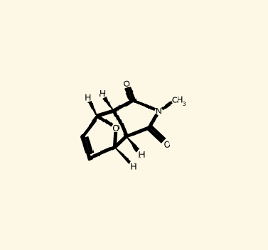 CN1C(=O)[C@@H]2[C@H](C1=O)[C@@H]1C=C[C@H]2O1